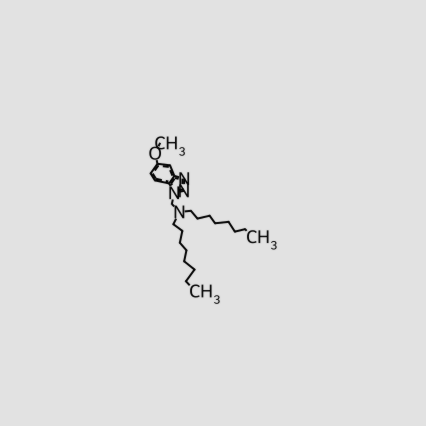 CCCCCCCCN(CCCCCCCC)Cn1nnc2cc(OC)ccc21